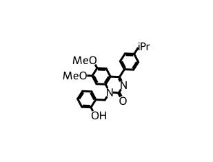 COc1cc2c(-c3ccc(C(C)C)cc3)nc(=O)n(Cc3ccccc3O)c2cc1OC